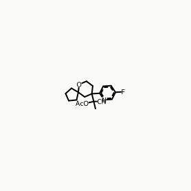 CC(=O)OC(C)(C#N)C1(c2ccc(F)cn2)CCOC2(CCCC2)C1